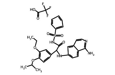 CCOc1cc(C(Nc2ccc3c(N)nccc3c2)C(=O)NS(=O)(=O)c2ccccc2)ccc1OC(C)C.O=C(O)C(F)(F)F